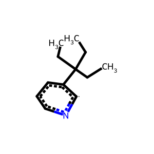 CCC(CC)(CC)c1[c]nccc1